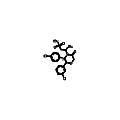 CC(C)(C)C(CS(=O)(=O)C(C)(C)C)N1C(=O)COC(c2cccc(Cl)c2)[C@H]1c1ccc(Cl)cc1